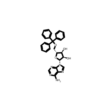 Nc1ncnc2c1ncn2[C@@H]1O[C@H](COC(c2ccccc2)(c2ccccc2)c2ccccc2)[C@@H](O)[C@H]1O